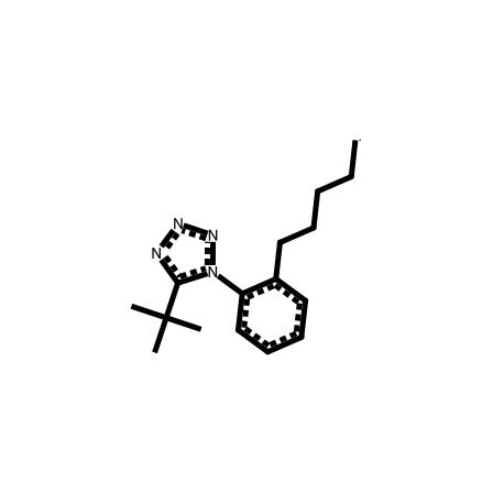 [CH2]CCCCc1ccccc1-n1nnnc1C(C)(C)C